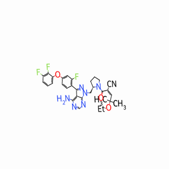 CCOC(C)(C)/C=C(/C#N)C(=O)N1CCC[C@@H]1Cn1nc(-c2ccc(Oc3cccc(F)c3F)cc2F)c2c(N)ncnc21